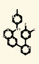 Cc1ccc(Nc2ncnc3ccc(-c4cccnc4-c4ccc(F)c(Cl)c4)cc23)cn1